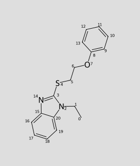 CCn1c(SCCOc2ccccc2)nc2ccccc21